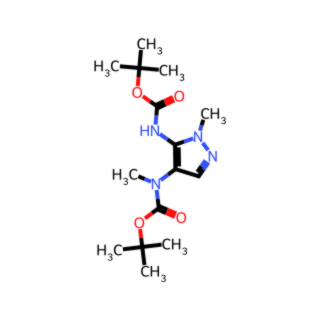 CN(C(=O)OC(C)(C)C)c1cnn(C)c1NC(=O)OC(C)(C)C